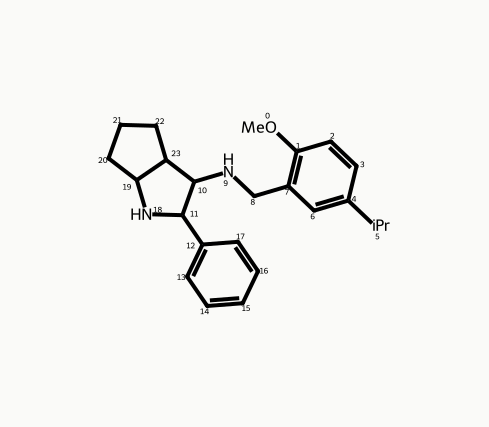 COc1ccc(C(C)C)cc1CNC1C(c2ccccc2)NC2CCCC21